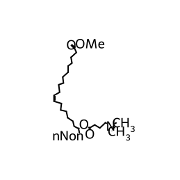 CCCCCCCCCC(CCCCCC/C=C\CCCCCCCCCC(=O)OC)OC(=O)CCCN(C)C